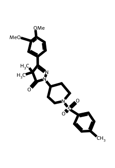 COc1ccc(C2=NN(C3CCN(S(=O)(=O)c4ccc(C)cc4)CC3)C(=O)C2(C)C)cc1OC